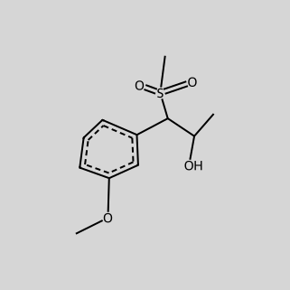 COc1cccc(C(C(C)O)S(C)(=O)=O)c1